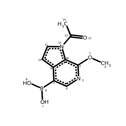 COc1ncc(B(O)O)c2ccn(C(C)=O)c12